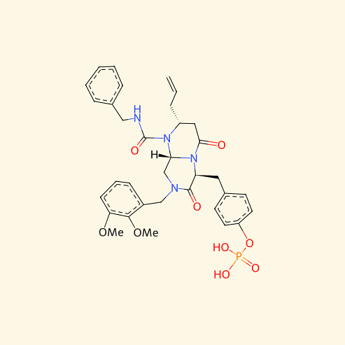 C=CC[C@@H]1CC(=O)N2[C@H](CN(Cc3cccc(OC)c3OC)C(=O)[C@@H]2Cc2ccc(OP(=O)(O)O)cc2)N1C(=O)NCc1ccccc1